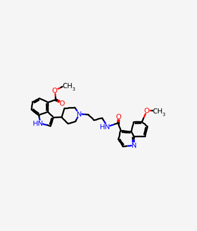 COC(=O)c1cccc2[nH]cc(C3CCN(CCCNC(=O)c4ccnc5ccc(OC)cc45)CC3)c12